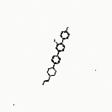 C/C=C/C1CCC(c2ccc(-c3ccc(-c4ccc(C)cc4)c(F)c3)cc2)CC1